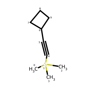 CS(C)(C)C#CC1CCC1